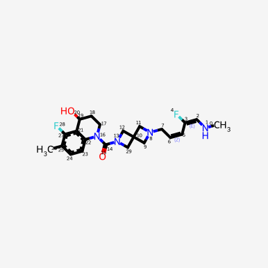 CN/C=C(F)\C=C/CN1CC2(C1)CN(C(=O)N1CCC(O)c3c1ccc(C)c3F)C2